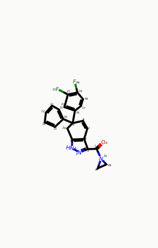 O=C(c1n[nH]c2c1C=CC(c1ccccc1)(c1ccc(F)c(F)c1)C2)N1CC1